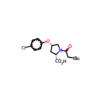 CC(C)(C)CC(=O)N1C[C@@H](Oc2ccc(Cl)cc2)C[C@H]1C(=O)O